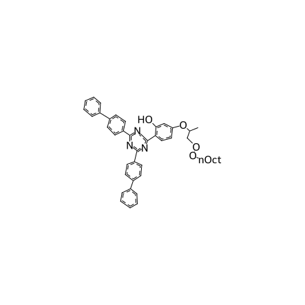 CCCCCCCCOOCC(C)Oc1ccc(-c2nc(-c3ccc(-c4ccccc4)cc3)nc(-c3ccc(-c4ccccc4)cc3)n2)c(O)c1